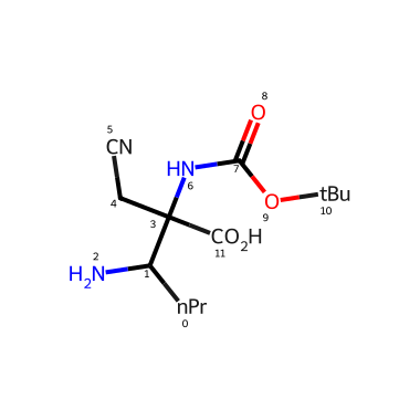 CCCC(N)C(CC#N)(NC(=O)OC(C)(C)C)C(=O)O